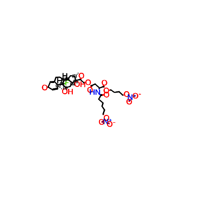 C[C@H]1C[C@H]2[C@@H]3CCC4=CC(=O)C=C[C@]4(C)[C@@]3(F)[C@@H](O)C[C@]2(C)[C@@]1(O)C(=O)COC(=O)CC(NC(=O)CCCCCO[N+](=O)[O-])C(=O)OCCCCO[N+](=O)[O-]